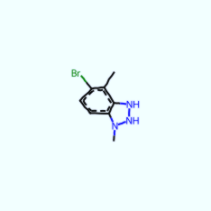 Cc1c(Br)ccc2c1NNN2C